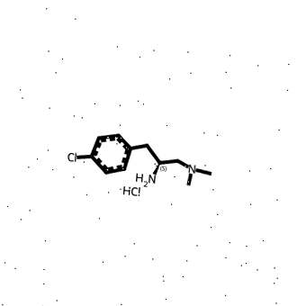 CN(C)C[C@@H](N)Cc1ccc(Cl)cc1.Cl